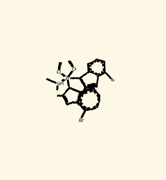 C[O][Zr]([O]C)([CH]1C(C)=Cc2c(Br)cccc21)([CH]1C(C)=Cc2c(Br)cccc21)[SiH](C)C